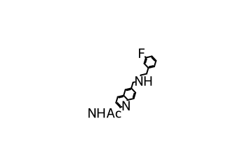 CC(=O)Nc1ccc2cc(CNCCc3cccc(F)c3)ccc2n1